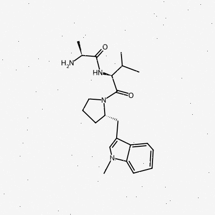 CC(C)[C@H](NC(=O)[C@H](C)N)C(=O)N1CCC[C@H]1Cc1cn(C)c2ccccc12